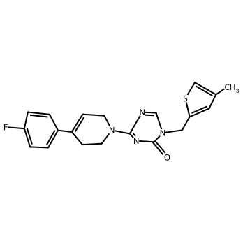 Cc1csc(Cn2cnc(N3CC=C(c4ccc(F)cc4)CC3)nc2=O)c1